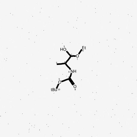 CCOC(O)C(C)NC(=O)OC(C)(C)C